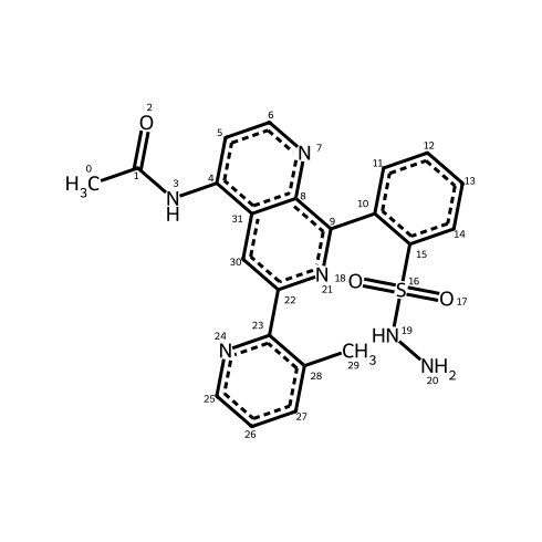 CC(=O)Nc1ccnc2c(-c3ccccc3S(=O)(=O)NN)nc(-c3ncccc3C)cc12